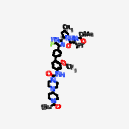 COC(=O)N[C@H](C(=O)N1C[C@@H](C)C[C@H]1c1nc(-c2ccc(-c3ccc(NC(=O)N4CCN(C5CCN(C(=O)C(C)(C)C)CC5)CC4)cc3OC(F)(F)F)cc2)c(F)[nH]1)C(C)C